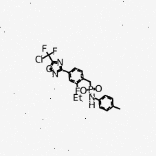 CCOP(=O)(Cc1ccc(-c2noc(C(F)(F)Cl)n2)cc1F)Nc1ccc(C)cc1